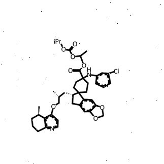 CC(C)OC(=O)OC(C)OC(=O)C1(Nc2cccc(Cl)c2)CCC2(CC1)c1cc3c(cc1C[C@@H]2C[C@@H](C)COc1ccnc2c1[C@H](C)CCC2)OCO3